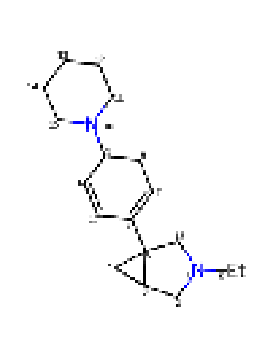 CCN1CC2CC2(C2=CCC(N3CCCCC3)C=C2)C1